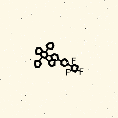 Fc1cc(F)c(-c2ccc(-c3ccc4c5c(cccc35)-c3c-4c(-c4ccccc4)c4ccccc4c3-c3ccccc3)cc2)c(F)c1